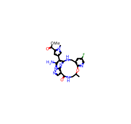 COC(=O)c1cc(-c2c3nc4c(cnn4c2N)C(=O)NCC(C)Oc2ncc(F)cc2CN3)cn1C